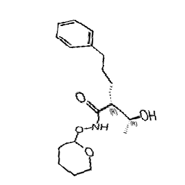 C[C@@H](O)[C@@H](CCCc1ccccc1)C(=O)NOC1CCCCO1